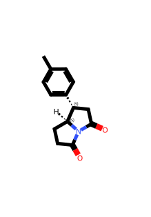 Cc1ccc([C@@H]2CC(=O)N3C(=O)CC[C@@H]23)cc1